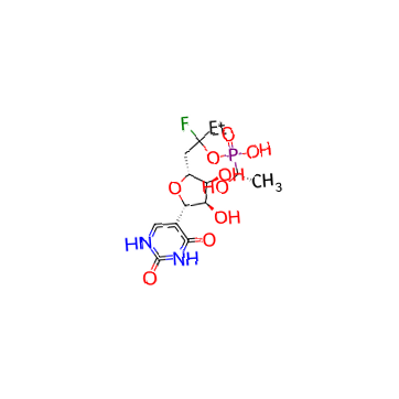 CCC(F)(C[C@H]1O[C@@H](c2c[nH]c(=O)[nH]c2=O)[C@H](O)[C@@H]1O)OP(=O)(O)[C@H](C)O